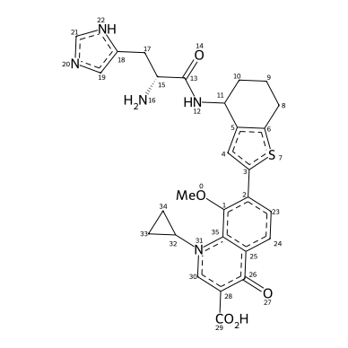 COc1c(-c2cc3c(s2)CCCC3NC(=O)[C@H](N)Cc2cnc[nH]2)ccc2c(=O)c(C(=O)O)cn(C3CC3)c12